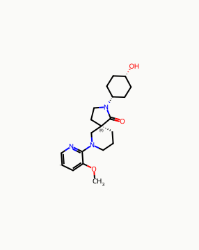 COc1c[c]cnc1N1CCC[C@@]2(CCN([C@H]3CC[C@@H](O)CC3)C2=O)C1